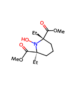 CC[C@@]1(C(=O)OC)CCC[C@@](CC)(C(=O)OC)N1O